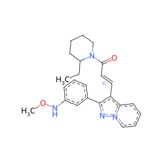 CCC1CCCCN1C(=O)/C=C/c1c(-c2cccc(NOC)c2)nn2ccccc12